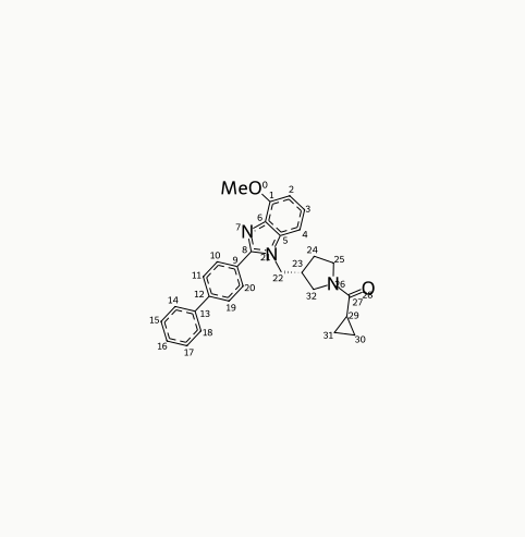 COc1cccc2c1nc(-c1ccc(-c3ccccc3)cc1)n2C[C@@H]1CCN(C(=O)C2CC2)C1